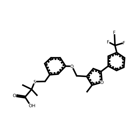 Cc1oc(-c2cccc(C(F)(F)F)c2)cc1COc1cccc(CSC(C)(C)C(=O)O)c1